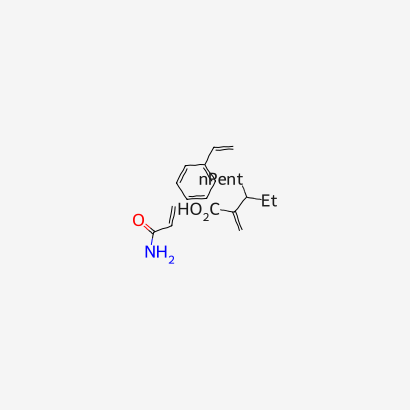 C=C(C(=O)O)C(CC)CCCCC.C=CC(N)=O.C=Cc1ccccc1